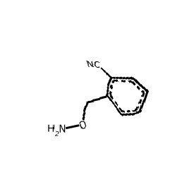 N#Cc1ccccc1CON